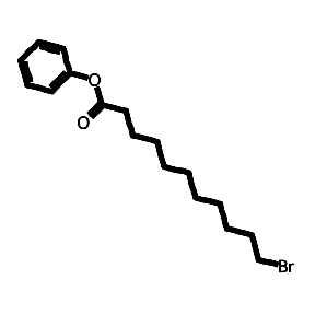 O=C(CCCCCCCCCCBr)Oc1ccccc1